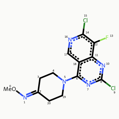 CON=C1CCN(c2nc(Cl)nc3c(F)c(Cl)ncc23)CC1